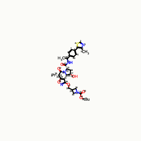 Cc1ncsc1-c1ccc([C@H](C)NC(=O)[C@@H]2C[C@@H](O)CN2C(=O)[C@H](c2cc(OCC3CN(C(=O)OC(C)(C)C)C3)no2)C(C)C)cc1